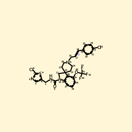 O=C(NCc1cnc(Cl)s1)N1CC2(CCN(C/C=C/c3ccc(Cl)cc3)CC2)c2c(OC(F)(F)F)cccc21